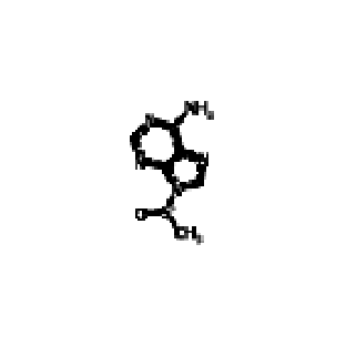 C[S+]([O-])n1cnc2c(N)ncnc21